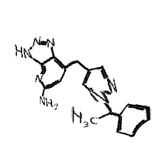 CC(c1ccccc1)n1cc(Cc2cc(N)nc3[nH]nnc23)cn1